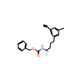 C#Cc1cc(C)cc(CCC[C@H](C)NC(=O)OCc2ccccc2)c1